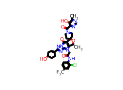 Cc1ncnc(C(=O)N2CCC3(CC2)O[C@H](C)c2c3c(=O)n3nc(C4=CCC(O)CC4)nc3n2CC(=O)Nc2ccc(C(F)(F)F)cc2Cl)c1O